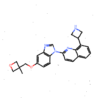 CC1(COc2ccc3c(c2)ncn3-c2ccc3cccc(C4CNC4)c3n2)COC1